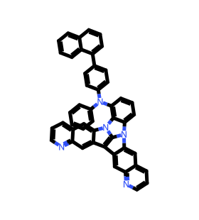 c1ccc(N(c2ccc(-c3cccc4ccccc34)cc2)c2cccc3c2n2c4cc5cccnc5cc4c4c5cc6ncccc6cc5n3c42)cc1